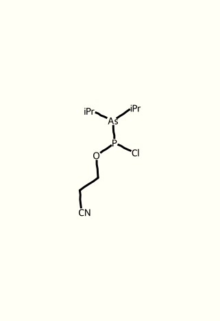 CC(C)[As](C(C)C)P(Cl)OCCC#N